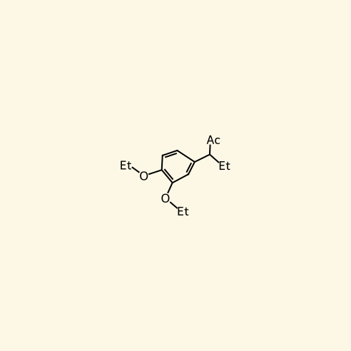 CCOc1ccc(C(CC)C(C)=O)cc1OCC